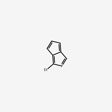 CCC1=C2C=CC=C2[C]=P1